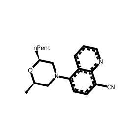 CCCCC[C@H]1CN(c2ccc(C#N)c3ncccc23)C[C@@H](C)O1